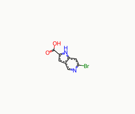 O=C(O)c1cc2cnc(Br)cc2[nH]1